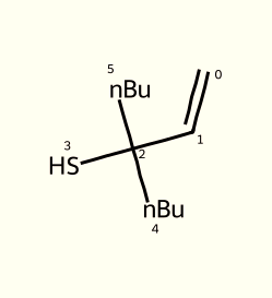 C=CC(S)(CCCC)CCCC